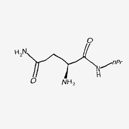 CCCNC(=O)[C@@H](N)CC(N)=O